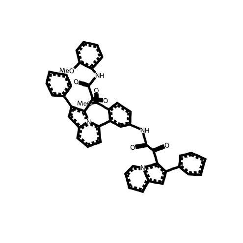 COC(=O)c1ccc(NC(=O)C(=O)c2c(-c3ccccc3)cc3ccccn23)cc1-c1cccc2cc(-c3ccccc3)c(C(=O)C(=O)Nc3ccccc3OC)n12